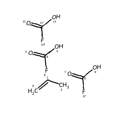 C=CC.O=C(O)F.O=C(O)F.O=C(O)F